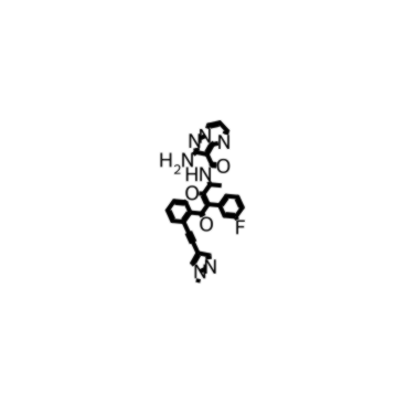 CC(NC(=O)c1c(N)nn2cccnc12)c1oc2cccc(C#Cc3cnn(C)c3)c2c(=O)c1-c1cccc(F)c1